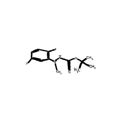 CN(NC(=O)OC(C)(C)C)c1cc(F)ccc1F